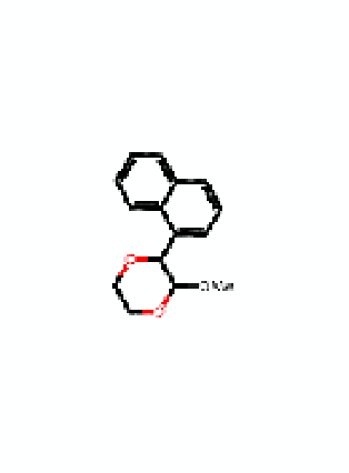 COC1OCCO[C]1c1cccc2ccccc12